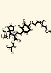 COCCN(C)CCOc1ccc(CC/C(C(=O)OCC(C)C)=C(/O)C2(N(C)N)CCCC2)c(F)c1F